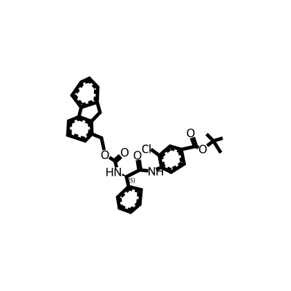 CC(C)(C)OC(=O)c1ccc(NC(=O)[C@@H](NC(=O)OCc2cccc3c2Cc2ccccc2-3)c2ccccc2)c(Cl)c1